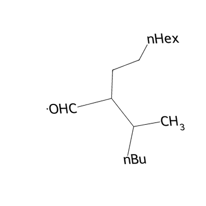 CCCCCCCCC([C]=O)C(C)CCCC